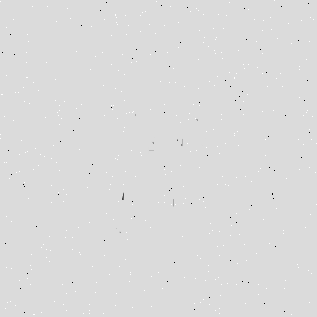 CC(C[C@H]1CC[C@H](c2ccnc3ccc(F)cc32)CC1)Nc1nc(Cl)nc2ccc(F)cc12